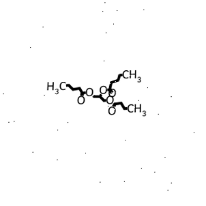 CCCCC(=O)OCC(COC(=O)CCC)OC(=O)CCCC